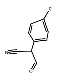 N#CC([C]=O)c1ccc(Cl)cc1